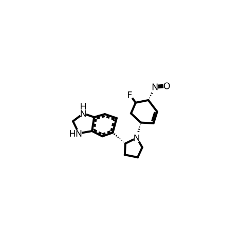 O=N[C@@H]1C=C[C@H](N2CCC[C@@H]2c2ccc3c(c2)NCN3)CC1F